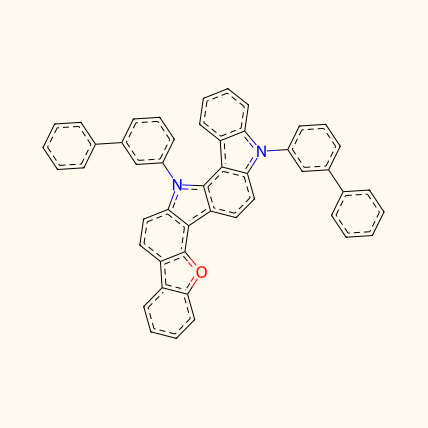 c1ccc(-c2cccc(-n3c4ccccc4c4c3ccc3c5c6oc7ccccc7c6ccc5n(-c5cccc(-c6ccccc6)c5)c34)c2)cc1